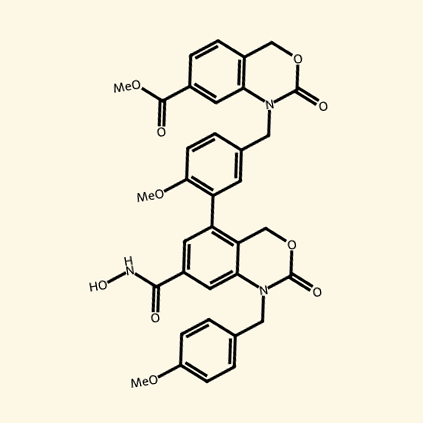 COC(=O)c1ccc2c(c1)N(Cc1ccc(OC)c(-c3cc(C(=O)NO)cc4c3COC(=O)N4Cc3ccc(OC)cc3)c1)C(=O)OC2